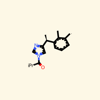 [CH2]c1cccc([C@H](C)c2cn(C(=O)C(C)C)cn2)c1C